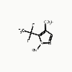 CC(C)(C)n1ncc(C(=O)O)c1C(F)(F)C(F)(F)F